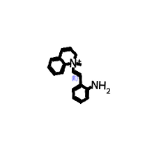 C[N+]1(/C=C/c2ccccc2N)CC=Cc2ccccc21